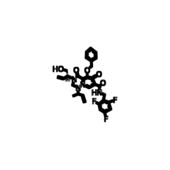 C=CC(C)N1CN([C@H](C=C)CO)C(=O)c2c(OCc3ccccc3)c(=O)c(C(=O)NCc3c(F)cc(F)cc3F)cn21